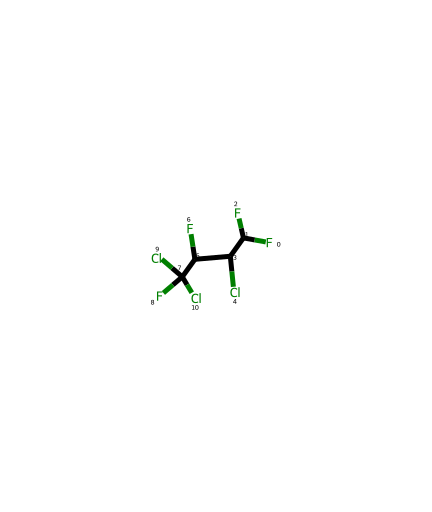 FC(F)C(Cl)C(F)C(F)(Cl)Cl